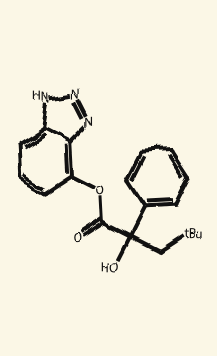 CC(C)(C)CC(O)(C(=O)Oc1cccc2[nH]nnc12)c1ccccc1